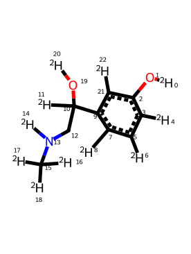 [2H]Oc1c([2H])c([2H])c([2H])c(C([2H])(CN([2H])C([2H])([2H])[2H])O[2H])c1[2H]